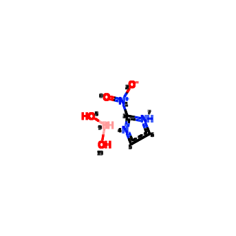 O=[N+]([O-])c1ncc[nH]1.OBO